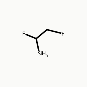 FCC(F)[SiH3]